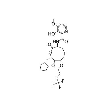 COc1ccnc(C(=O)N[C@H]2CCC[C@H](OCCCC(F)(F)F)[C@@H](OC3CCCC3)[C@H](C)OC2=O)c1O